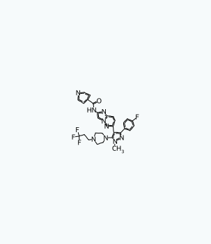 Cn1nc(-c2ccc(F)cc2)c(-c2ccc3nc(NC(=O)c4ccncc4)cn3n2)c1N1CCN(CCC(F)(F)F)CC1